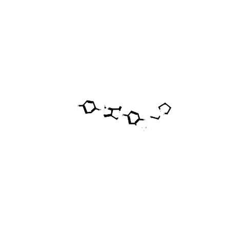 COc1cc(N2Cc3cn(-c4ccc(Cl)cc4)nc3C2=O)ccc1OCCN1CCCC1